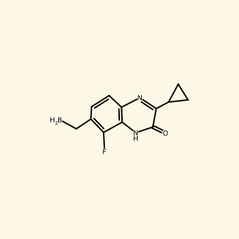 BCc1ccc2nc(C3CC3)c(=O)[nH]c2c1F